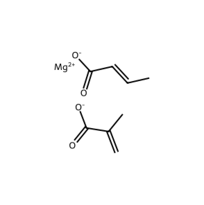 C/C=C/C(=O)[O-].C=C(C)C(=O)[O-].[Mg+2]